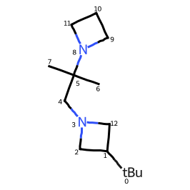 CC(C)(C)C1CN(CC(C)(C)N2CCC2)C1